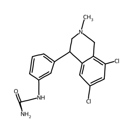 CN1Cc2c(Cl)cc(Cl)cc2C(c2cccc(NC(N)=O)c2)C1